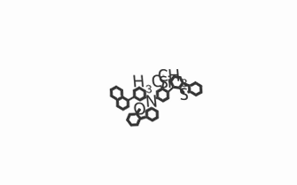 C[Si]1(C)c2cc(N(c3cccc(-c4cccc5ccccc45)c3)c3cccc4c3oc3ccccc34)ccc2-c2c1ccc1c2sc2ccccc21